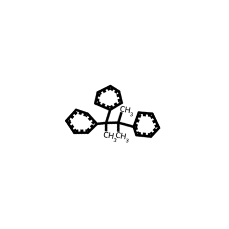 CC(C)(c1ccccc1)C(C)(c1ccccc1)c1ccccc1